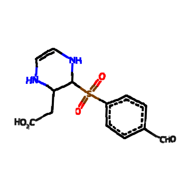 O=Cc1ccc(S(=O)(=O)C2NC=CNC2CC(=O)O)cc1